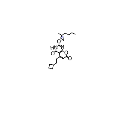 CCCC/C(C)=N/Oc1nc2oc(=O)cc(CCC3CCC3)c2c(=O)[nH]1